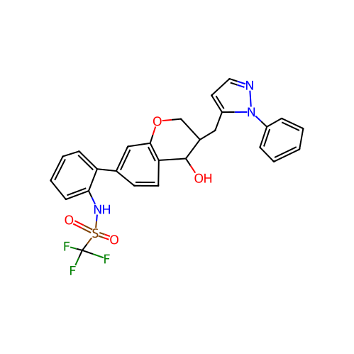 O=S(=O)(Nc1ccccc1-c1ccc2c(c1)OCC(Cc1ccnn1-c1ccccc1)C2O)C(F)(F)F